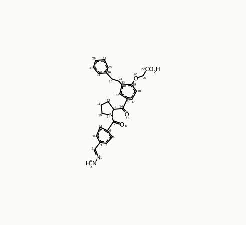 NN=Cc1ccc(C(=O)N2CCCC2C(=O)c2ccc(OCC(=O)O)c(CCc3ccccc3)c2)cc1